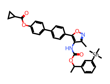 Cc1noc(-c2ccc(-c3ccc(OC(=O)C4CC4)cc3)cc2)c1NC(=O)OC(C)c1ccc[c]([Sn]([CH3])([CH3])[CH3])c1